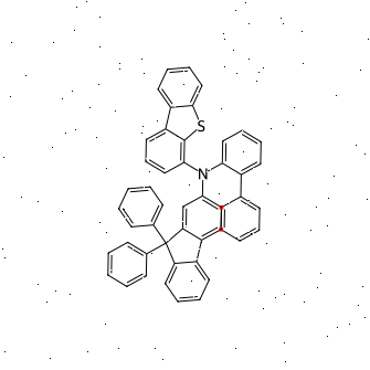 c1ccc(-c2ccccc2N(c2ccc3c(c2)C(c2ccccc2)(c2ccccc2)c2ccccc2-3)c2cccc3c2sc2ccccc23)cc1